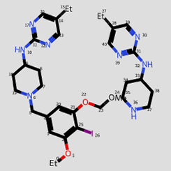 CCOc1cc(CN2CCC(Nc3ncc(CC)cn3)CC2)cc(OCOC)c1I.CCc1cnc(NC2CCNCC2)nc1